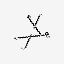 CCCCCCCCCCN(CCCCCCCCCC)C(=O)CCCCCCCN(CCCCCCCC(=O)N(CCCCCCCCCC)CCCCCCCCCC)CCC[C@@H]1CCCC[C@H]1O